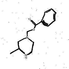 CC1CN(COC(=O)c2ccccc2)CCN1